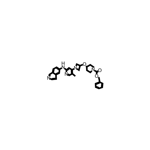 Cc1cnc(Nc2ccc3cnccc3c2)cc1N1CC(OC2CCN(C(=O)OCc3ccccc3)CC2)C1